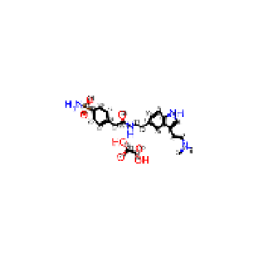 CN(C)CCc1c[nH]c2ccc(CCNC(=O)Cc3ccc(S(N)(=O)=O)cc3)cc12.O=C(O)C(=O)O